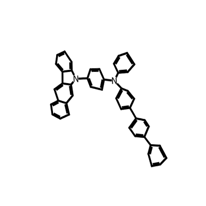 c1ccc(-c2ccc(-c3ccc(N(c4ccccc4)c4ccc(-n5c6ccccc6c6cc7ccccc7cc65)cc4)cc3)cc2)cc1